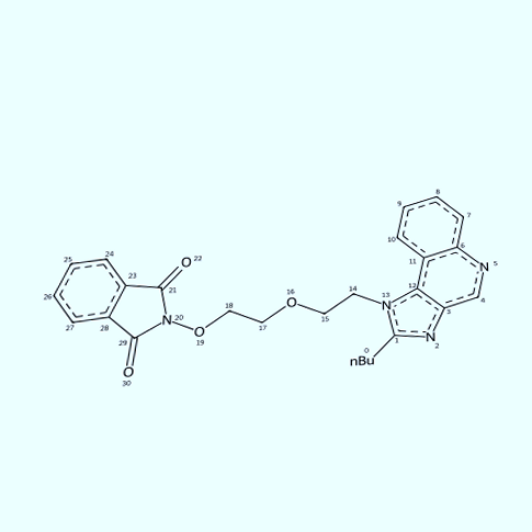 CCCCc1nc2cnc3ccccc3c2n1CCOCCON1C(=O)c2ccccc2C1=O